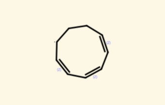 [CH]1\C=C/C=C\C=C/CC1